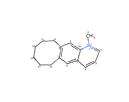 C[n+]1cccc2cc3c(cc21)CCCCCC3